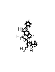 CCCN(C[C@@H](O)C(F)(F)F)C(=O)[C@H]1CCC2=C1[C@@H](C)C1=CNN(c3ccccc3)C1=C2